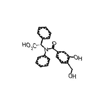 O=C(O)[C@H](c1ccccc1)N(C(=O)c1ccc(CO)c(O)c1)c1ccccc1